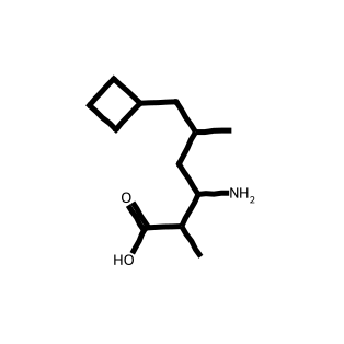 CC(CC1CCC1)CC(N)C(C)C(=O)O